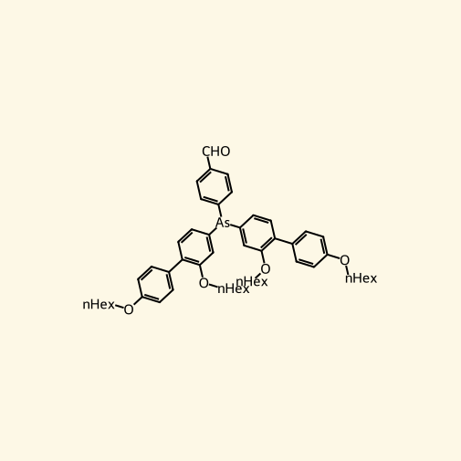 CCCCCCOc1ccc(-c2ccc([As](c3ccc(C=O)cc3)c3ccc(-c4ccc(OCCCCCC)cc4)c(OCCCCCC)c3)cc2OCCCCCC)cc1